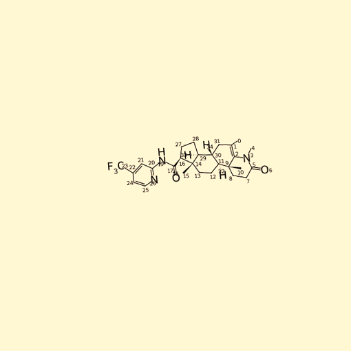 CC1=C2N(C)C(=O)CC[C@]2(C)[C@H]2CC[C@]3(C)[C@@H](C(=O)Nc4cc(C(F)(F)F)ccn4)CC[C@H]3[C@@H]2C1